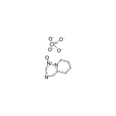 O=[n+]1cncc2ccccn21.[O-][Cl+3]([O-])([O-])[O-]